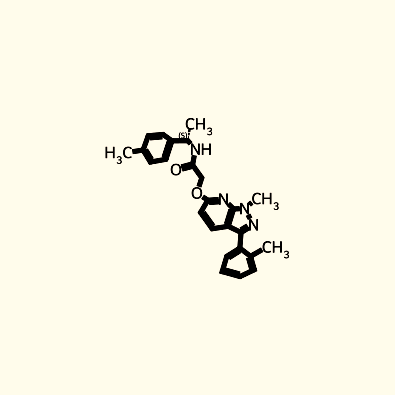 Cc1ccc([C@H](C)NC(=O)COc2ccc3c(-c4ccccc4C)nn(C)c3n2)cc1